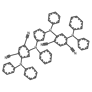 N#Cc1cc(C#N)c(N(c2ccccc2)c2cccc(N(c3ccccc3)c3cc(N(c4ccccc4)c4ccccc4)c(C#N)cc3C#N)c2)cc1N(c1ccccc1)c1ccccc1